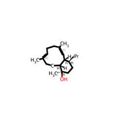 C/C1=C/[C@@H]2[C@@H](C(C)C)CC[C@@](C)(O)[C@@H]2CC/C(C)=C/CC1